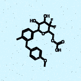 COc1ccc(Cc2cc(C3OC(COC(=O)O)C(F)(F)C(O)C3O)ccc2C)cc1